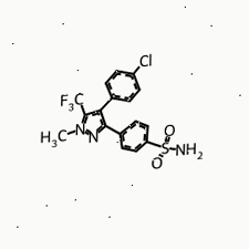 Cn1nc(-c2ccc(S(N)(=O)=O)cc2)c(-c2ccc(Cl)cc2)c1C(F)(F)F